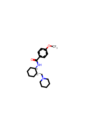 O=C(N[C@@H]1CCCC[C@H]1CN1CCCCC1)c1ccc(OC(F)(F)F)cc1